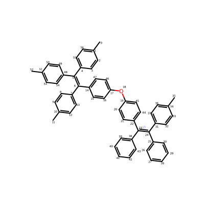 Cc1ccc(C(=C(c2ccc(C)cc2)c2ccc(Oc3ccc(/C(=C(/c4ccccc4)c4ccc(C)cc4)c4ccccc4)cc3)cc2)c2ccc(C)cc2)cc1